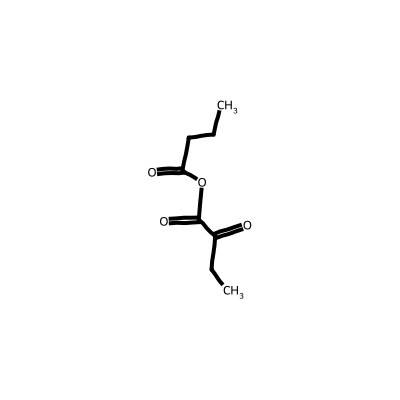 CCCC(=O)OC(=O)C(=O)CC